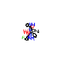 CN(C(=O)c1cc2c(F)cccc2[nH]1)[C@@H](CC1CCCCC1)C(O)N1C[C@]2(C[C@H]1C#N)C(=O)Nc1ccccc12